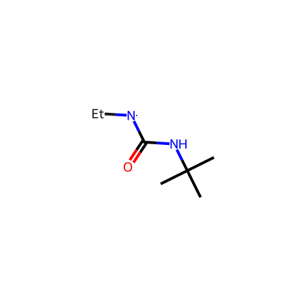 CC[N]C(=O)NC(C)(C)C